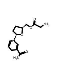 NCC(=O)OC[C@@H]1CC[C@H](N2C=CCC(C(N)=O)=C2)O1